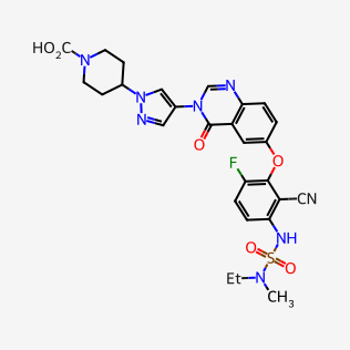 CCN(C)S(=O)(=O)Nc1ccc(F)c(Oc2ccc3ncn(-c4cnn(C5CCN(C(=O)O)CC5)c4)c(=O)c3c2)c1C#N